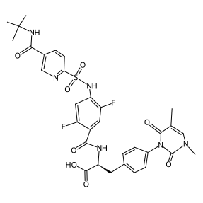 Cc1cn(C)c(=O)n(-c2ccc(C[C@H](NC(=O)c3cc(F)c(NS(=O)(=O)c4ccc(C(=O)NC(C)(C)C)cn4)cc3F)C(=O)O)cc2)c1=O